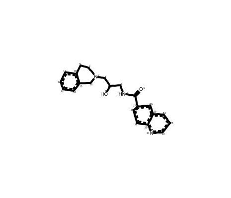 O=C(NCC(O)CN1CCc2ccccc2C1)c1ccc2ncccc2c1